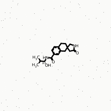 CC(C)[C@@H](O)NC(=O)c1ccc2c(c1)CC1(CC2)CNC(=O)C1